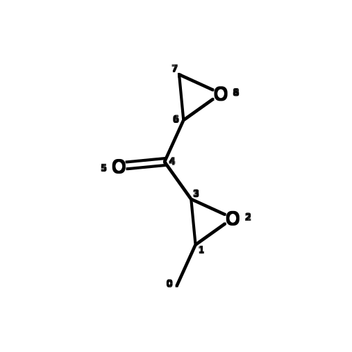 CC1OC1C(=O)C1CO1